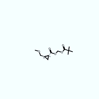 COC[C@@H]1C[C@H]1C(=O)OCOC(=O)C(C)(C)C